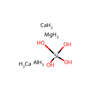 O[Si](O)(O)O.[AlH3].[CaH2].[CaH2].[MgH2]